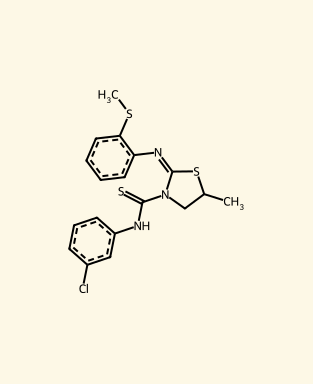 CSc1ccccc1/N=C1/SC(C)CN1C(=S)Nc1cccc(Cl)c1